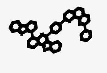 c1ccc(-c2ccc3ccc4ccc(-c5ccc(-c6nc7c(-c8cccc9c8sc8ccccc89)cccc7c7oc8ccccc8c67)cc5)nc4c3n2)cc1